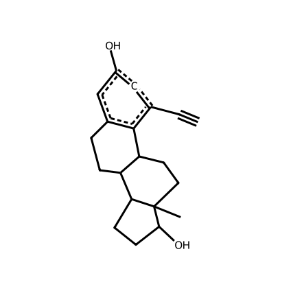 C#Cc1cc(O)cc2c1C1CCC3(C)C(O)CCC3C1CC2